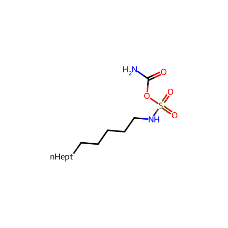 CCCCCCCCCCCCNS(=O)(=O)OC(N)=O